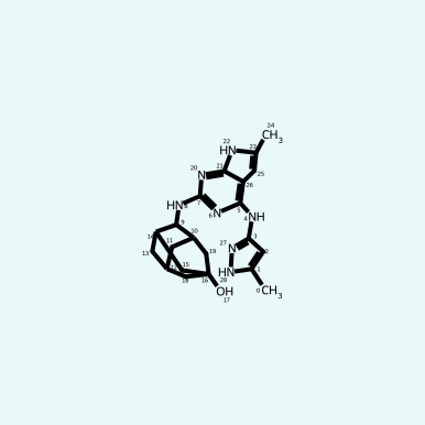 Cc1cc(Nc2nc(NC3C4CC5CC3CC(O)(C5)C4)nc3[nH]c(C)cc23)n[nH]1